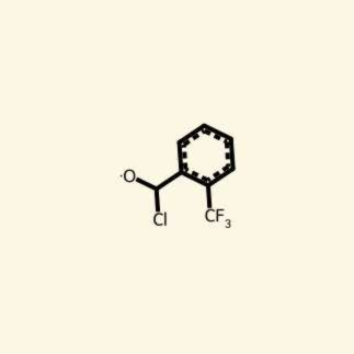 [O]C(Cl)c1ccccc1C(F)(F)F